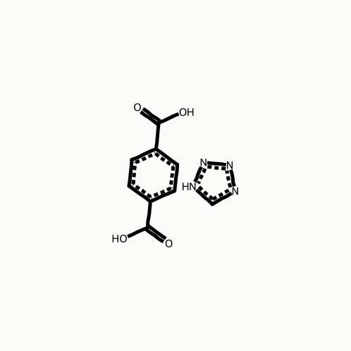 O=C(O)c1ccc(C(=O)O)cc1.c1nnn[nH]1